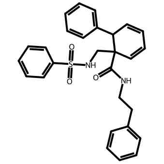 O=C(NCCc1ccccc1)C1(CNS(=O)(=O)c2ccccc2)C=CC=CC1c1ccccc1